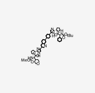 COC(=O)N[C@H](C(=O)N1CCC[C@H]1c1nc(-c2cnc3cc(-c4ccc(-c5cnc([C@@H]6CCCN6C(=O)[C@H](NC(=O)OC(C)(C)C)c6ccccc6)[nH]5)cc4)ccc3c2)c[nH]1)C1CCOCC1